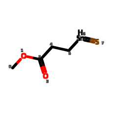 COC(=O)C[CH2][SnH]=[S]